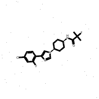 CC(C)(F)C(=O)N[C@H]1CC[C@@H](n2cnc(-c3ccc(Cl)cc3F)c2)CC1